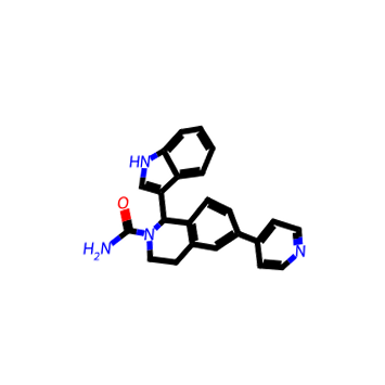 NC(=O)N1CCc2cc(-c3ccncc3)ccc2C1c1c[nH]c2ccccc12